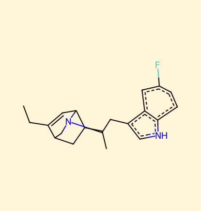 CCC1=CC2C(CC)CC1CN2CCc1c[nH]c2ccc(F)cc12